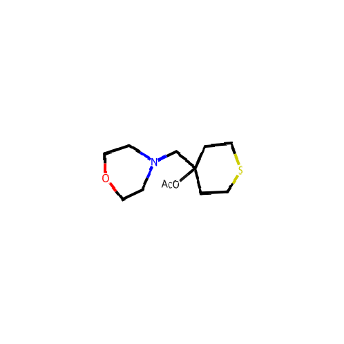 CC(=O)OC1(CN2CCOCC2)CCSCC1